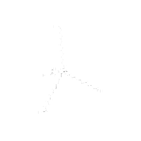 CCCCCCCCCCCCCCOC([O])(OCCCCCCCCCCCC)C(CCCCCCCCCCCCCC)CCC(C)S